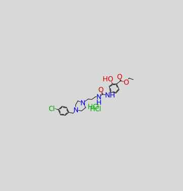 CCOC(=O)c1ccc(NC(=O)NCCCN2CCN(Cc3ccc(Cl)cc3)CC2)cc1O.Cl.Cl